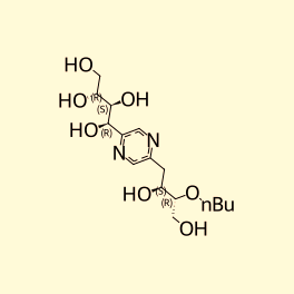 CCCCO[C@H](CO)[C@@H](O)Cc1cnc([C@@H](O)[C@H](O)[C@H](O)CO)cn1